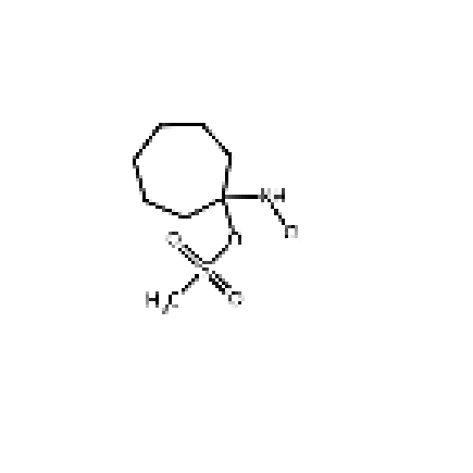 CS(=O)(=O)OC1(NCl)CCCCCC1